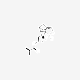 C=C(C)C(=O)OCCOC1C2CC3C1OS(=O)(=O)C3(C#N)C2